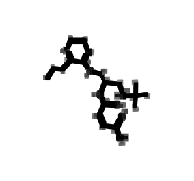 CCCc1nccnc1OC[C@H](CNC(C)(C)C)OC(=O)/C=C\C(=O)O